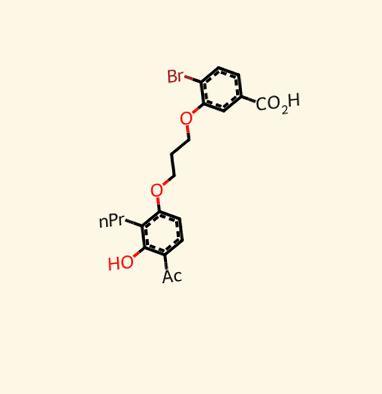 CCCc1c(OCCCOc2cc(C(=O)O)ccc2Br)ccc(C(C)=O)c1O